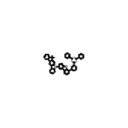 CC1(C)c2ccccc2-c2cc3c4ccccc4n(-c4ccc5oc6c(-c7cccc(-c8nc(-c9ccccc9)nc(-c9ccccc9)n8)c7)cccc6c5c4)c3cc21